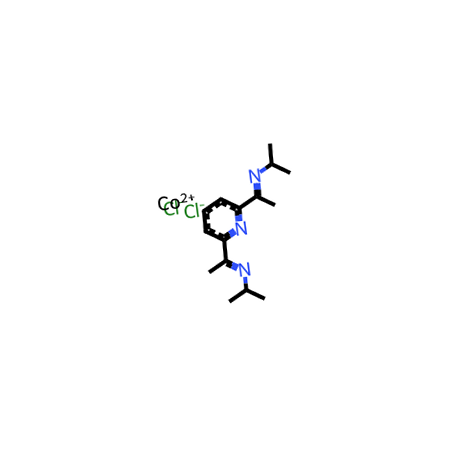 CC(=NC(C)C)c1cccc(C(C)=NC(C)C)n1.[Cl-].[Cl-].[Co+2]